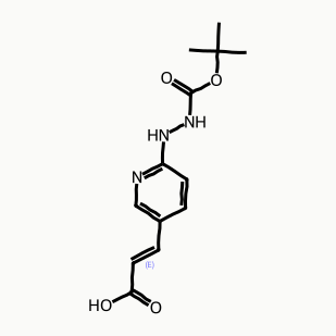 CC(C)(C)OC(=O)NNc1ccc(/C=C/C(=O)O)cn1